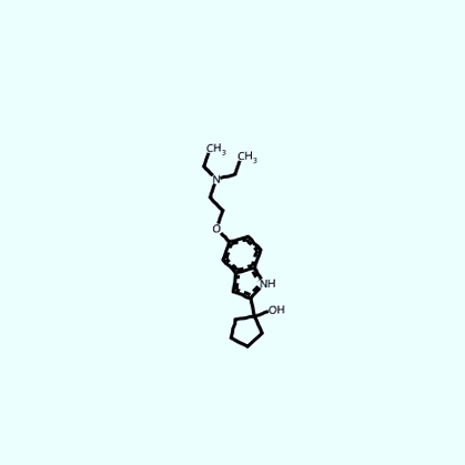 CCN(CC)CCOc1ccc2[nH]c(C3(O)CCCC3)cc2c1